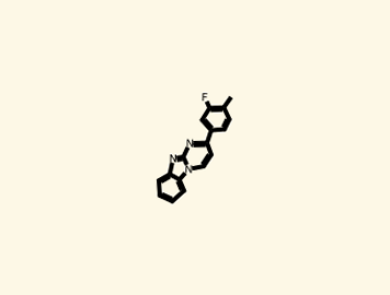 Cc1ccc(-c2ccn3c(n2)nc2ccccc23)cc1F